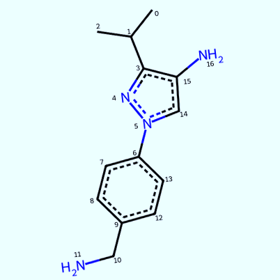 CC(C)c1nn(-c2ccc(CN)cc2)cc1N